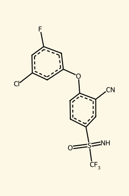 N#Cc1cc(S(=N)(=O)C(F)(F)F)ccc1Oc1cc(F)cc(Cl)c1